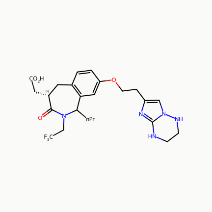 CCCC1c2cc(OCCc3cn4c(n3)NCCN4)ccc2C[C@@H](CC(=O)O)C(=O)N1CC(F)(F)F